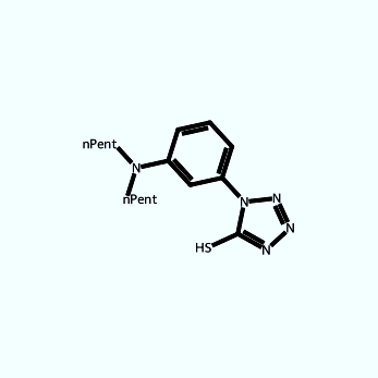 CCCCCN(CCCCC)c1cccc(-n2nnnc2S)c1